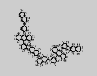 c1cc(-c2ccc3c(-c4ccc5cc6oc7c(-c8c9ccccc9c(-c9ccc(-c%10ccc%11ccccc%11c%10)cc9)c9ccccc89)cccc7c6cc5c4)cccc3c2)cc(-c2c3ccccc3c(-c3cccc4c3oc3cc5ccccc5cc34)c3ccccc23)c1